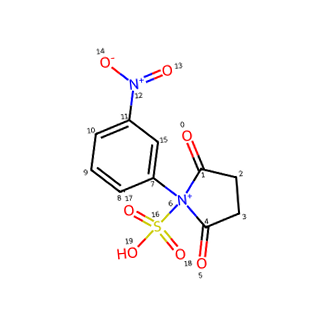 O=C1CCC(=O)[N+]1(c1[c]ccc([N+](=O)[O-])c1)S(=O)(=O)O